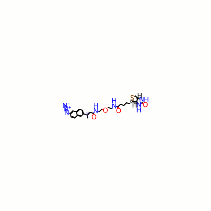 C/C(=C\C(=O)NCCOCCNC(=O)CCCC[C@@H]1SC[C@@H]2NC(=O)N[C@@H]21)c1ccc2cc(N=[N+]=[N-])ccc2c1